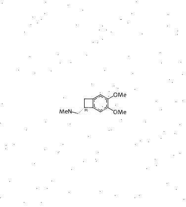 CNC[C@@H]1Cc2cc(OC)c(OC)cc21